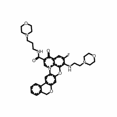 O=C(NCCCN1CCOCC1)c1cn2c3c(c(NCCN4CCOCC4)c(F)cc3c1=O)Oc1cc3c(cc1-2)-c1ccccc1CO3